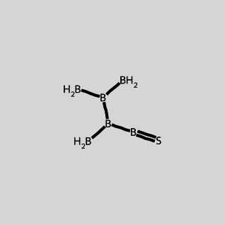 BB(B)B(B)B=S